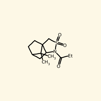 CCC(=O)N1C2CC3CCC2(CS1(=O)=O)C3(C)C